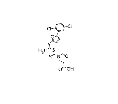 C/C(=C/c1ccc(-c2cc(Cl)ccc2Cl)o1)SC(=S)N(C=O)CCC(=O)O